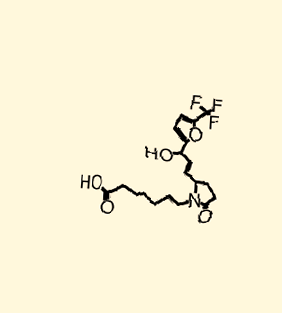 O=C(O)CCCCCCN1C(=O)CCC1C=CC(O)c1ccc(C(F)(F)F)o1